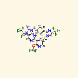 Cn1cc(C(F)(F)F)nc1-c1ccc(Cn2c(=N)n(C(F)C(F)F)c3cnc(-c4cccnc4OC(F)F)nc32)cc1